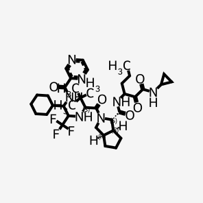 CCCC(NC(=O)[C@@H]1[C@H]2CCC[C@H]2CN1C(=O)[C@@H](NC(C(NC(=O)c1cnccn1)C1CCCCC1)C(F)(F)F)C(C)(C)C)C(=O)C(=O)NC1CC1